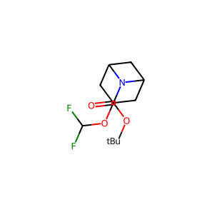 CC(C)(C)OC(=O)N1C2CC(OC(F)F)CC1C2